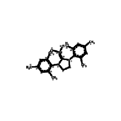 Cc1cc(C)c(N2CCN(c3c(C)cc(C)cc3C)[C]2=[Ru]([Cl])[Cl])c(C)c1